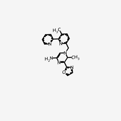 Cc1ccc(CN2C=C(N)N=C(c3ncco3)C2C)nc1-c1ccccn1